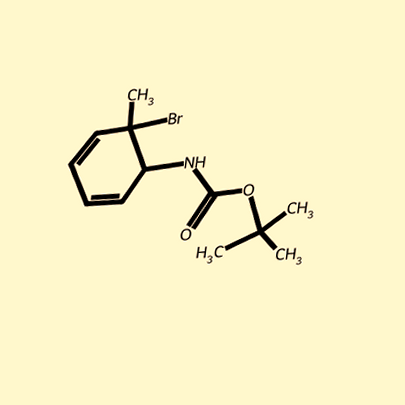 CC(C)(C)OC(=O)NC1C=CC=CC1(C)Br